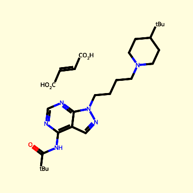 CC(C)(C)C(=O)Nc1ncnc2c1cnn2CCCCN1CCC(C(C)(C)C)CC1.O=C(O)C=CC(=O)O